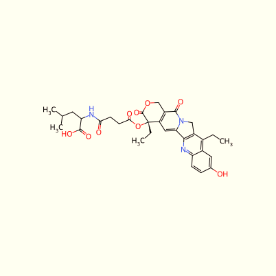 CCc1c2c(nc3ccc(O)cc13)-c1cc3c(c(=O)n1C2)COC(=O)[C@@]3(CC)OC(=O)CCC(=O)NC(CC(C)C)C(=O)O